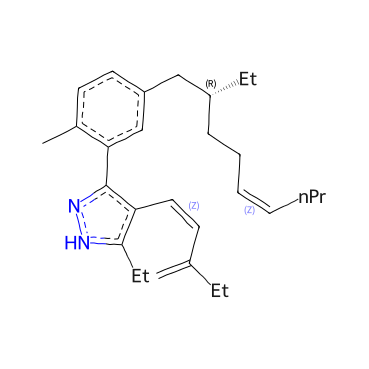 C=C(/C=C\c1c(-c2cc(C[C@H](CC)CC/C=C\CCC)ccc2C)n[nH]c1CC)CC